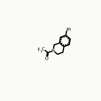 CC(C)c1ccc2c(c1)CN(C(=O)C(F)(F)F)CC2